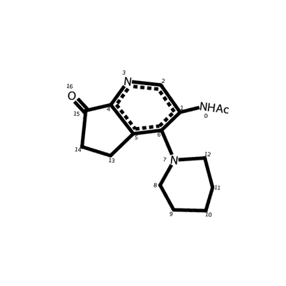 CC(=O)Nc1cnc2c(c1N1CCCCC1)CCC2=O